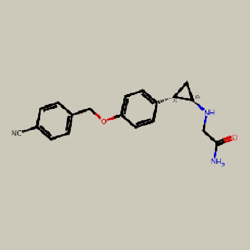 N#Cc1ccc(COc2ccc([C@@H]3C[C@H]3NCC(N)=O)cc2)cc1